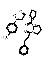 Cc1ccc([S+]([O-])CC(=O)[C@@H]2CCCN2C(=O)[C@H]2CCCN2C(=O)CCc2ccccc2)cc1